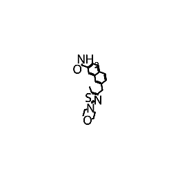 Cc1sc(N2CCOCC2)nc1Cc1ccc2ccc(C(N)=O)cc2c1